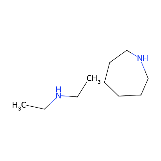 C1CCCNCC1.CCNCC